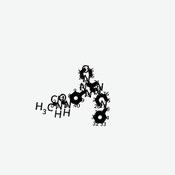 CC(C)NC(=O)Nc1ccc(-c2nc(N3CCOCC3)c3cnn(C4CCN(Cc5ccccc5)CC4)c3n2)cc1